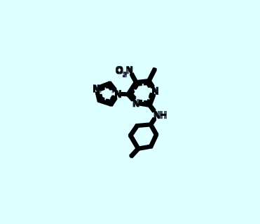 Cc1nc(NC2CCC(C)CC2)nc(-n2ccnc2)c1[N+](=O)[O-]